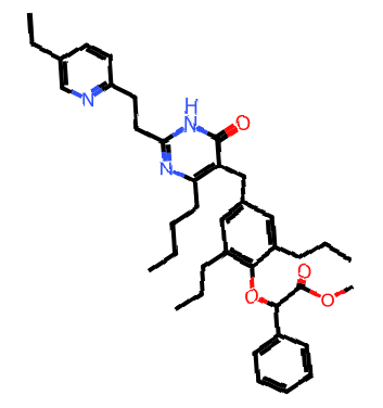 CCCCc1nc(CCc2ccc(CC)cn2)[nH]c(=O)c1Cc1cc(CCC)c(OC(C(=O)OC)c2ccccc2)c(CCC)c1